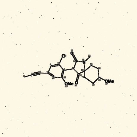 CC#Cc1cc(Cl)c(C2C(=O)N(C)C3(CCC(OC)CC3)C2=O)c(OC)c1